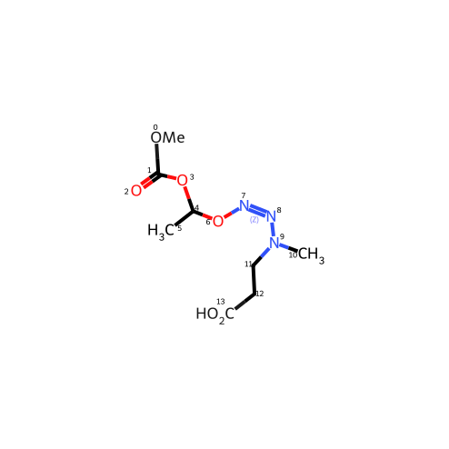 COC(=O)OC(C)O/N=N\N(C)CCC(=O)O